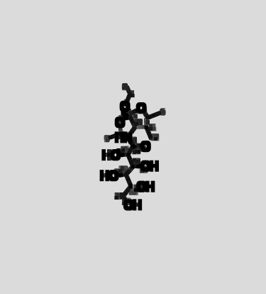 CCO[Si](OCC)(OCC)C(CC)NC(=O)[C@H](O)[C@@H](O)[C@H](O)[C@H](O)CO